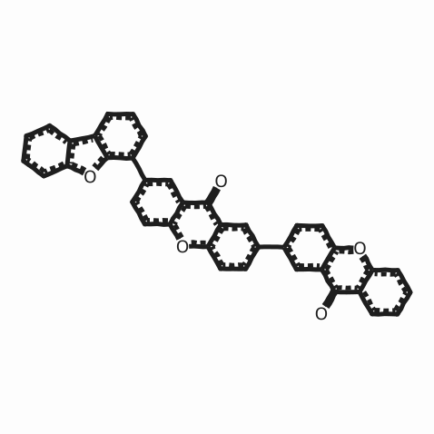 O=c1c2ccccc2oc2ccc(-c3ccc4oc5ccc(-c6cccc7c6oc6ccccc67)cc5c(=O)c4c3)cc12